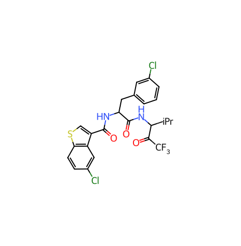 CC(C)C(NC(=O)C(Cc1cccc(Cl)c1)NC(=O)c1csc2ccc(Cl)cc12)C(=O)C(F)(F)F